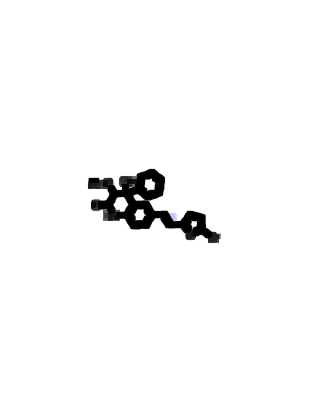 COC1C(=O)Nc2ccc(/C=C/c3ccc(Br)o3)cc2C1(O)c1ccccc1